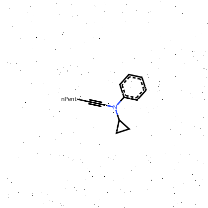 CCCCCC#CN(c1ccccc1)C1CC1